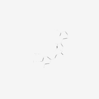 COc1cc(/C=c2\sc3nc(-c4cccc(Cl)c4)cn3c2=O)cc(F)c1O